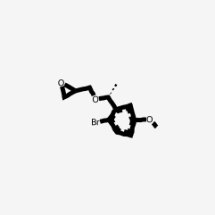 COc1ccc(Br)c([C@@H](C)OCC2CO2)c1